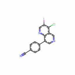 N#Cc1ccc(-c2cncc3c(Cl)c(I)cnc23)cc1